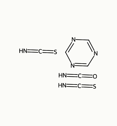 N=C=O.N=C=S.N=C=S.c1ncncn1